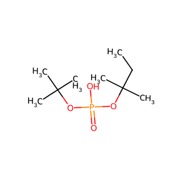 CCC(C)(C)OP(=O)(O)OC(C)(C)C